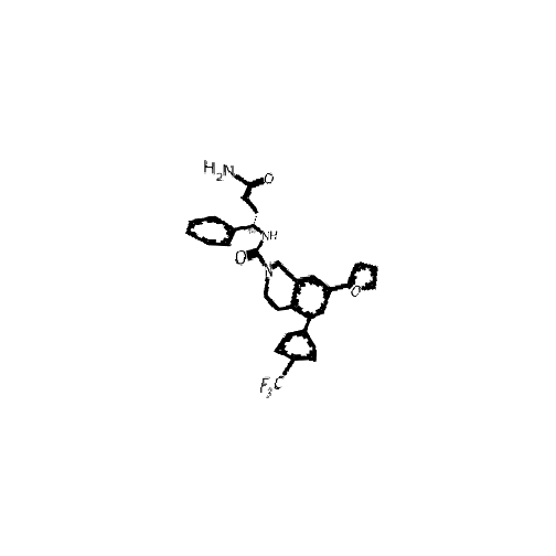 NC(=O)CC[C@H](NC(=O)N1CCc2c(cc(-c3ccco3)cc2-c2ccc(C(F)(F)F)cc2)C1)c1ccccc1